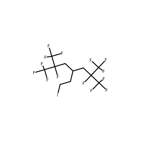 FC(F)(F)C(F)(CC(CCI)CC(F)(C(F)(F)F)C(F)(F)F)C(F)(F)F